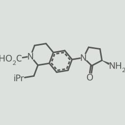 CC(C)CC1c2ccc(N3CC[C@@H](N)C3=O)cc2CCN1C(=O)O